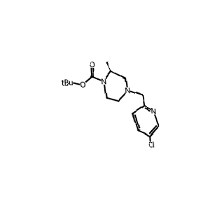 C[C@H]1CN(Cc2ccc(Cl)cn2)CCN1C(=O)OC(C)(C)C